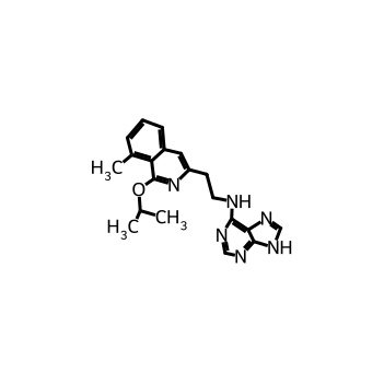 Cc1cccc2cc(CCNc3ncnc4[nH]cnc34)nc(OC(C)C)c12